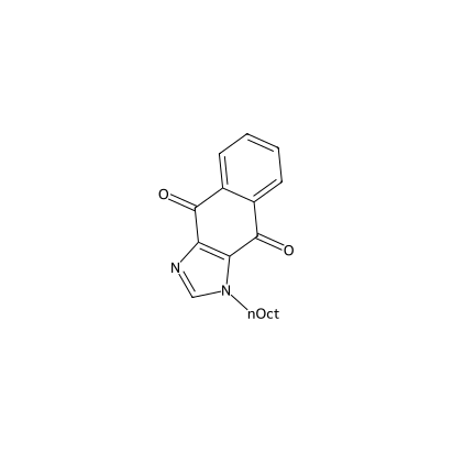 CCCCCCCCn1cnc2c1C(=O)c1ccccc1C2=O